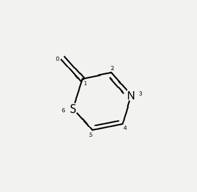 C=C1C=NC=CS1